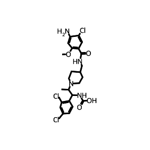 COc1cc(N)c(Cl)cc1C(=O)NCC1CCN(C(C)C(NC(=O)O)c2ccc(Cl)cc2Cl)CC1